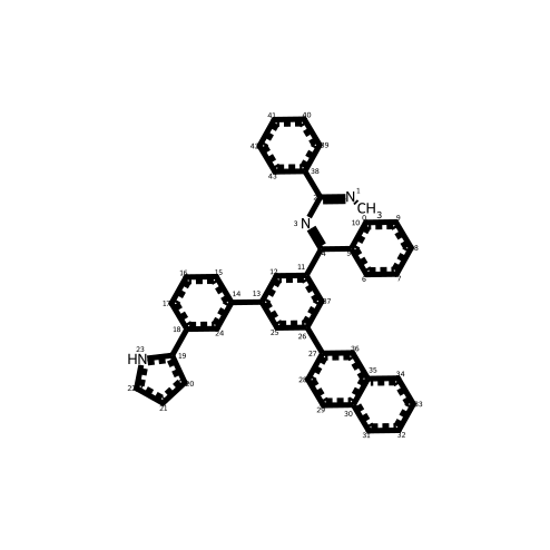 C/N=C(\N=C(/c1ccccc1)c1cc(-c2cccc(-c3ccc[nH]3)c2)cc(-c2ccc3ccccc3c2)c1)c1ccccc1